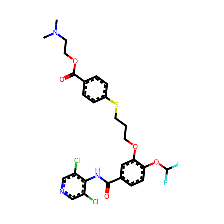 CN(C)CCOC(=O)c1ccc(SCCCOc2cc(C(=O)Nc3c(Cl)cncc3Cl)ccc2OC(F)F)cc1